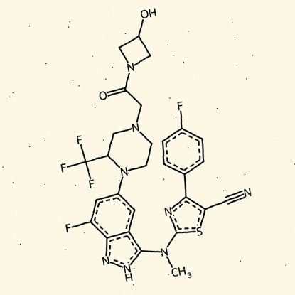 CN(c1nc(-c2ccc(F)cc2)c(C#N)s1)c1[nH]nc2c(F)cc(N3CCN(CC(=O)N4CC(O)C4)CC3C(F)(F)F)cc12